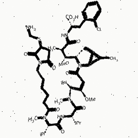 CC[C@H](C)[C@@H]([C@@H](CC(=O)N1C2C(C)C2C[C@H]1[C@H](OC)[C@@H](C)C(=O)N[C@@H](Cc1ccccc1Cl)C(=O)O)OC)N(C)C(=O)[C@@H](NC(=O)[C@H](C(C)C)N(C)C(=O)CCCCCN1C(=O)CC(SCN)C1=O)C(C)C